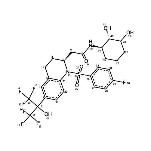 O=C(C[C@@H]1CCc2cc(C(O)(C(F)(F)F)C(F)(F)F)ccc2N1S(=O)(=O)c1ccc(F)cc1)N[C@@H]1CCCC(O)[C@H]1O